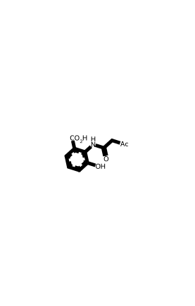 CC(=O)CC(=O)Nc1c(O)cccc1C(=O)O